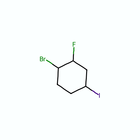 FC1CC(I)CCC1Br